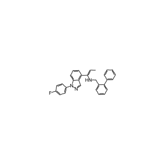 C/C=C(\NCc1ccccc1-c1ccccc1)c1cccc2c1cnn2-c1ccc(F)cc1